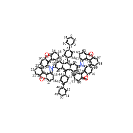 c1ccc(-c2ccc(-c3c4ccc(N(c5cccc6oc7ccccc7c56)c5cccc6oc7ccccc7c56)cc4c(-c4ccc(-c5ccccc5)cc4)c4ccc(N(c5cccc6oc7ccccc7c56)c5cccc6oc7ccccc7c56)cc34)cc2)cc1